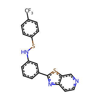 FC(F)(F)c1ccc(SNc2cccc(-c3nc4ccncc4s3)c2)cc1